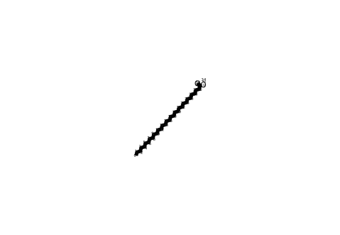 CCCCCCCCCCCCCCCCCCCCCCCCCCCCCCCC(=O)OC